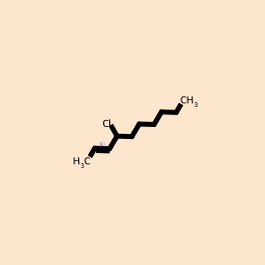 C/C=C/C(Cl)CCCCCC